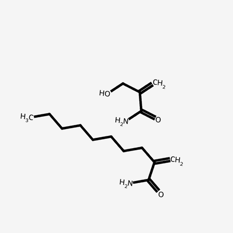 C=C(CCCCCCCC)C(N)=O.C=C(CO)C(N)=O